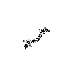 CC(C)(C)[C@H](NC(=O)CN1CCC(CN2CCN(c3ccc(C(=O)O[C@H]4C(C)(C)[C@H](Oc5ccc(C#N)c(Cl)c5)C4(C)C)cn3)CC2)CC1)C(=O)N1CC[C@@H](O)C1